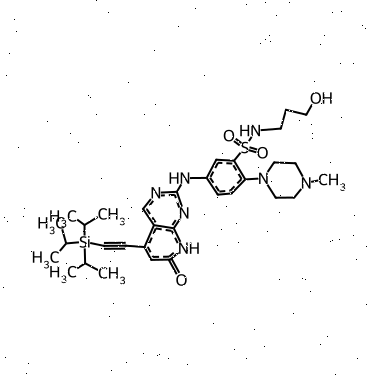 CC(C)[Si](C#Cc1cc(=O)[nH]c2nc(Nc3ccc(N4CCN(C)CC4)c(S(=O)(=O)NCCCO)c3)ncc12)(C(C)C)C(C)C